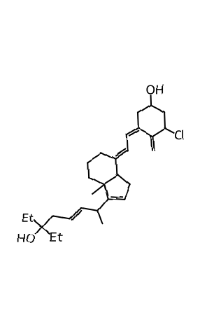 C=C1/C(=C\C=C2/CCCC3(C)C(C(C)/C=C/CC(O)(CC)CC)=CCC23)CC(O)CC1Cl